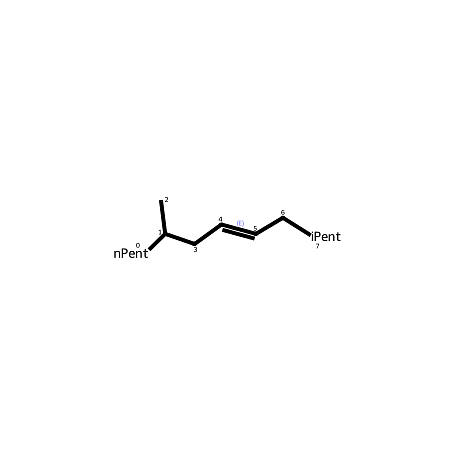 CCCCCC(C)C/C=C/CC(C)CCC